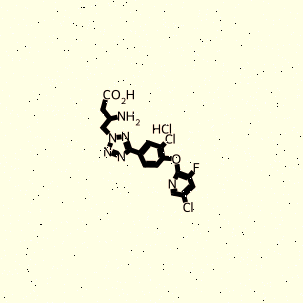 Cl.NC(CC(=O)O)Cn1nnc(-c2ccc(Oc3ncc(Cl)cc3F)c(Cl)c2)n1